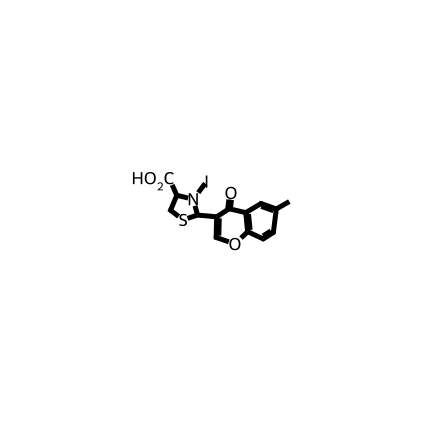 Cc1ccc2occ(C3SCC(C(=O)O)N3I)c(=O)c2c1